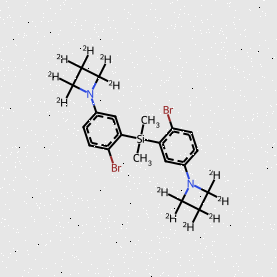 [2H]C1([2H])N(c2ccc(Br)c([Si](C)(C)c3cc(N4C([2H])([2H])C([2H])([2H])C4([2H])[2H])ccc3Br)c2)C([2H])([2H])C1([2H])[2H]